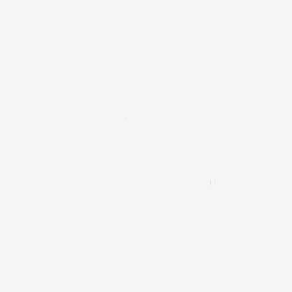 C=CCC(CO)C(O)C(O)C=C